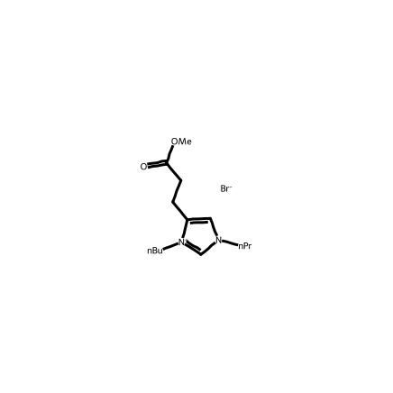 CCCC[n+]1cn(CCC)cc1CCC(=O)OC.[Br-]